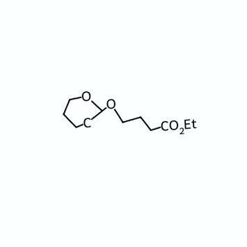 CCOC(=O)CCCOC1CCCCO1